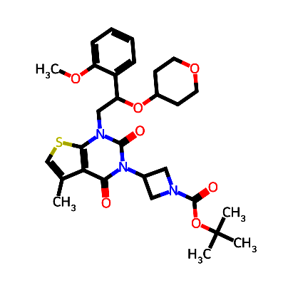 COc1ccccc1C(Cn1c(=O)n(C2CN(C(=O)OC(C)(C)C)C2)c(=O)c2c(C)csc21)OC1CCOCC1